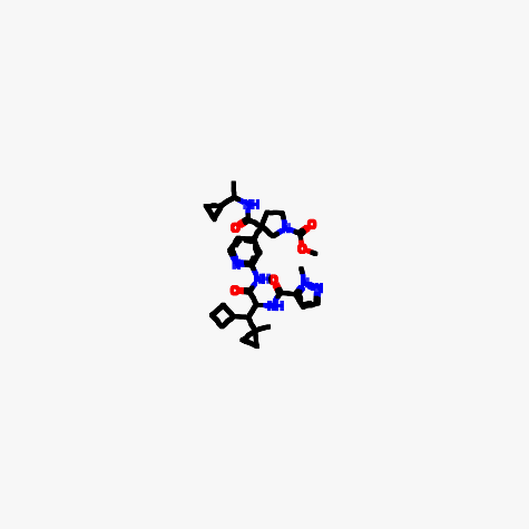 COC(=O)N1CCC(C(=O)NC(C)C2CC2)(c2ccnc(NC(=O)[C@@H](NC(=O)c3ccnn3C)C(C3CCC3)C3(C)CC3)c2)C1